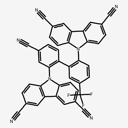 N#Cc1ccc(-c2cc(C(F)(F)F)ccc2-n2c3ccc(C#N)cc3c3cc(C#N)ccc32)c(-n2c3ccc(C#N)cc3c3cc(C#N)ccc32)c1